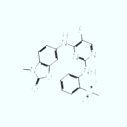 Cn1c(=O)oc2cc(Nc3nc(Nc4ccccc4S(C)(=O)=O)ncc3F)ccc21